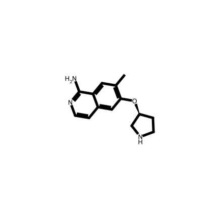 Cc1cc2c(N)nccc2cc1O[C@H]1CCNC1